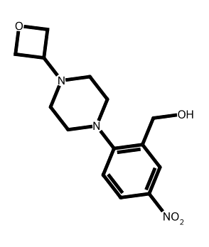 O=[N+]([O-])c1ccc(N2CCN(C3COC3)CC2)c(CO)c1